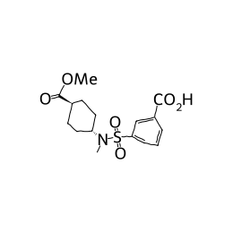 COC(=O)[C@H]1CC[C@H](N(C)S(=O)(=O)c2cccc(C(=O)O)c2)CC1